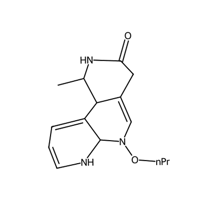 CCCON1C=C2CC(=O)NC(C)C2C2=CC=CNC21